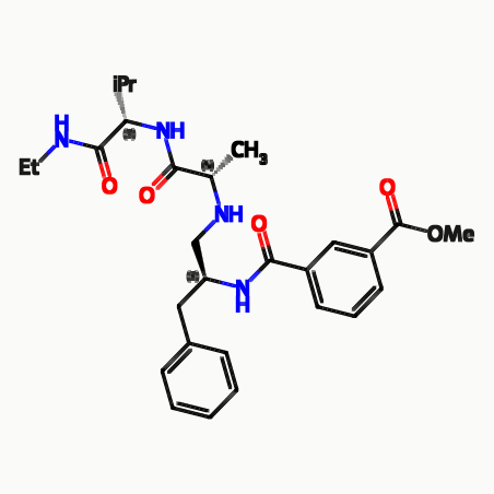 CCNC(=O)[C@@H](NC(=O)[C@H](C)NC[C@H](Cc1ccccc1)NC(=O)c1cccc(C(=O)OC)c1)C(C)C